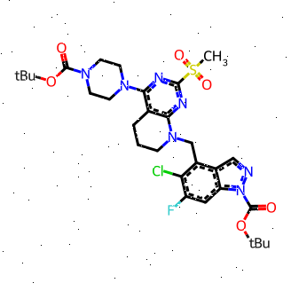 CC(C)(C)OC(=O)N1CCN(c2nc(S(C)(=O)=O)nc3c2CCCN3Cc2c(Cl)c(F)cc3c2cnn3C(=O)OC(C)(C)C)CC1